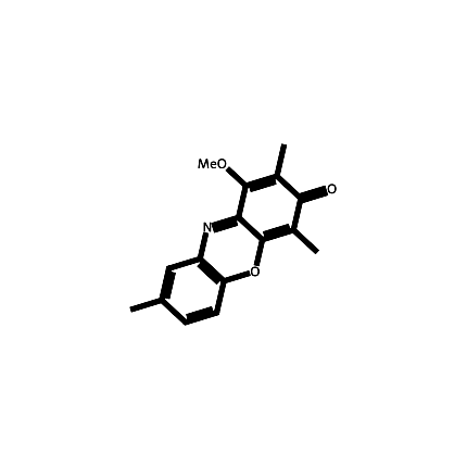 COc1c2nc3cc(C)ccc3oc-2c(C)c(=O)c1C